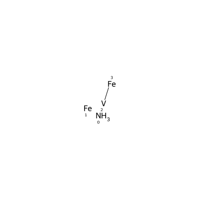 N.[Fe].[V][Fe]